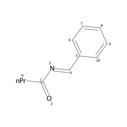 CCCC(=O)N=Cc1ccccc1